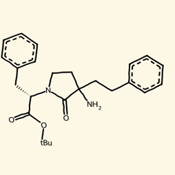 CC(C)(C)OC(=O)[C@H](Cc1ccccc1)N1CCC(N)(CCc2ccccc2)C1=O